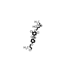 CCS(=O)(=O)C[C@@H](O)COc1c(Cl)cc(S(=O)(=O)c2ccc(OC[C@@H](C)CCl)cc2)cc1Cl